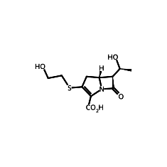 C[C@H](O)[C@H]1C(=O)N2C(C(=O)O)=C(SCCO)C[C@H]12